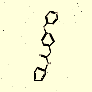 O=C(Cc1ccc(Oc2ccncc2)cc1)Nc1ccccc1